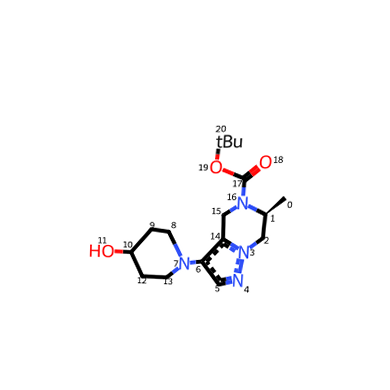 C[C@H]1Cn2ncc(N3CCC(O)CC3)c2CN1C(=O)OC(C)(C)C